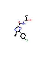 C#Cc1ncc(C(=O)NC[C@](C)(O)C2CC2)nc1-c1ccc(Cl)cc1